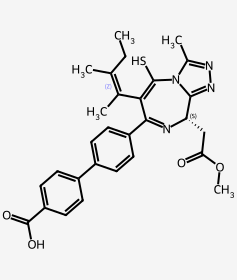 CC/C(C)=C(/C)C1=C(S)n2c(C)nnc2[C@H](CC(=O)OC)N=C1c1ccc(-c2ccc(C(=O)O)cc2)cc1